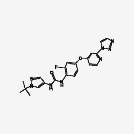 CC(C)(C)n1cc(NC(=O)Nc2ccc(Oc3ccnc(-n4ccnn4)c3)cc2F)cn1